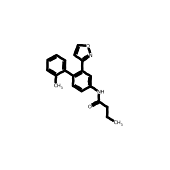 CCCC(=O)Nc1ccc(-c2ccccc2C)c(-c2ccon2)c1